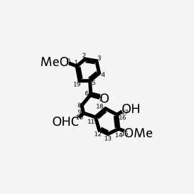 COc1cccc(C(=O)CC(C=O)c2ccc(OC)c(O)c2)c1